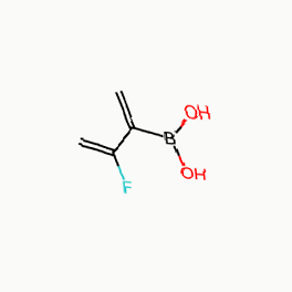 C=C(F)C(=C)B(O)O